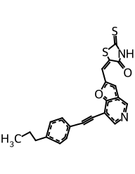 CCCc1ccc(C#Cc2cncc3cc(C=C4SC(=S)NC4=O)oc23)cc1